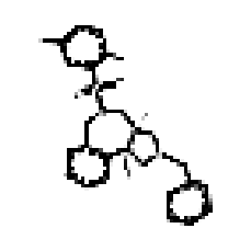 Cc1ccc(C)c(S(=O)(=O)N2Cc3ccccc3[C@H]3CN(Cc4ccccc4)C[C@@H]3C2)c1